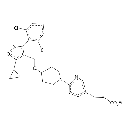 CCOC(=O)C#Cc1ccc(N2CCC(OCc3c(-c4c(Cl)cccc4Cl)noc3C3CC3)CC2)nc1